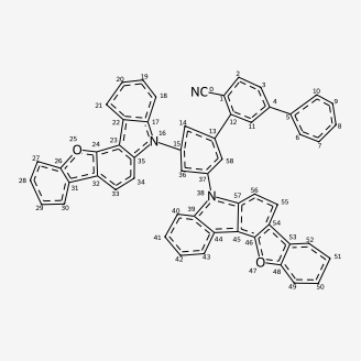 N#Cc1ccc(-c2ccccc2)cc1-c1cc(-n2c3ccccc3c3c4oc5ccccc5c4ccc32)cc(-n2c3ccccc3c3c4oc5ccccc5c4ccc32)c1